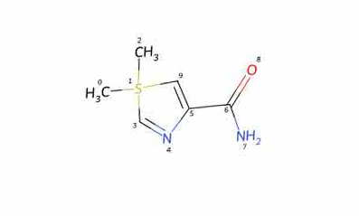 CS1(C)C=NC(C(N)=O)=C1